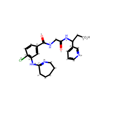 O=C(O)CC(NC(=O)CNC(=O)c1ccc(Cl)c(NC2=NCCCCC2)c1)c1cccnc1